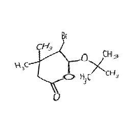 CC(C)(C)OC1OC(=O)CC(C)(C)C1Br